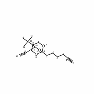 C#CCCCCC12OCC(C(C)(C)C)(CO1)C(C#N)O2